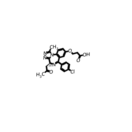 CC(=O)C[C@@H]1N=C(c2ccc(Cl)cc2)c2cc(OCCC(=O)O)ccc2-n2c(C)nnc21